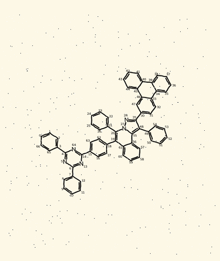 c1ccc(-c2nc(-c3ccccc3)nc(-c3ccc(-c4c(-c5ccccc5)n5nc(-c6ccc7c8ccccc8c8ccccc8c7c6)c(-c6ccccc6)c5c5ccccc45)cc3)n2)cc1